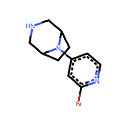 Brc1cc(N2C3CCC2CNC3)ccn1